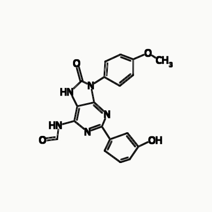 COc1ccc(-n2c(=O)[nH]c3c(NC=O)nc(-c4cccc(O)c4)nc32)cc1